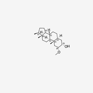 CO[C@@H]1C[C@@]2(C)[C@@H](CC[C@@H]3[C@@H]2CC[C@]2(C)[C@@H](C)CC[C@@H]32)C[C@@H]1O